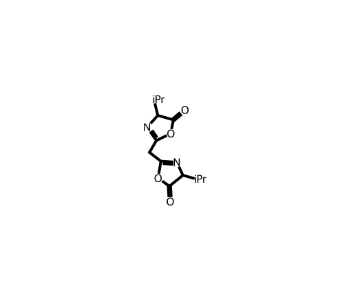 CC(C)C1N=C(CC2=NC(C(C)C)C(=O)O2)OC1=O